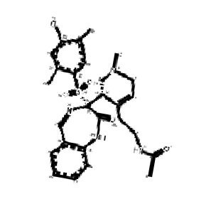 CC(=O)NCCC1=CCN(C)C[C@H]1[C@]1(S(=O)(=O)c2cc(C)c(Cl)cc2C)N=Cc2ccccc2NC1=O